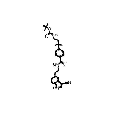 CC(C)(C)OC(=O)NCCC(C)(C)c1ccc(C(=O)NCCc2ccc3[nH]cc(C#N)c3c2)cc1